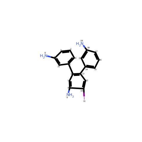 Nc1cccc(-c2cc(N)c(I)cc2-c2cccc(N)c2)c1